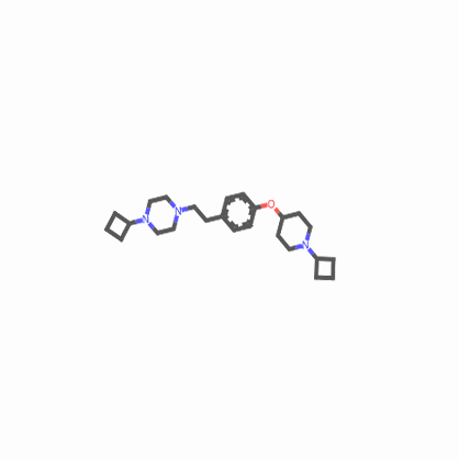 [c]1cc(CCN2CCN(C3CCC3)CC2)ccc1OC1CCN(C2CCC2)CC1